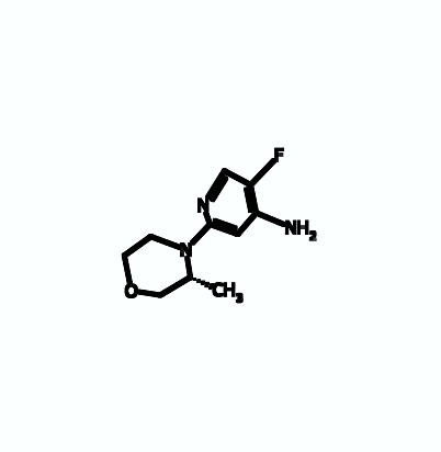 C[C@@H]1COCCN1c1cc(N)c(F)cn1